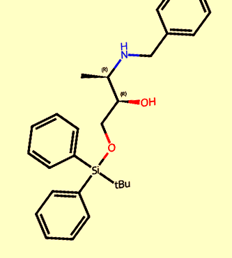 C[C@@H](NCc1ccccc1)[C@@H](O)CO[Si](c1ccccc1)(c1ccccc1)C(C)(C)C